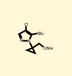 COCC1(n2ncc(Cl)c2C(C)(C)C)CC1